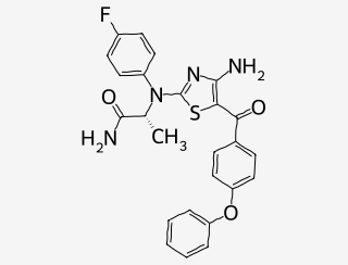 C[C@H](C(N)=O)N(c1ccc(F)cc1)c1nc(N)c(C(=O)c2ccc(Oc3ccccc3)cc2)s1